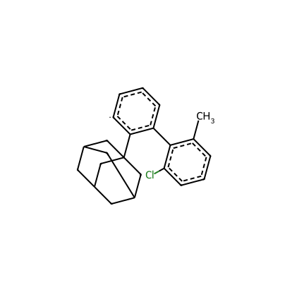 Cc1cccc(Cl)c1-c1ccc[c]c1C12CC3CC(CC(C3)C1)C2